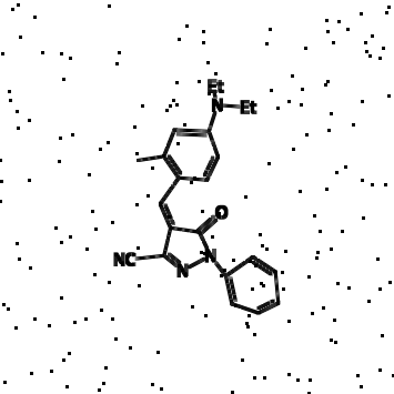 CCN(CC)c1ccc(/C=C2\C(=O)N(c3ccccc3)N=C2C#N)c(C)c1